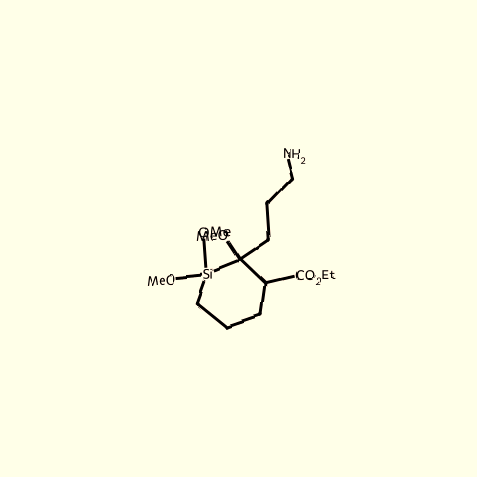 CCOC(=O)C1CCC[Si](OC)(OC)C1(CCCN)OC